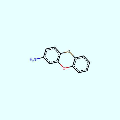 Nc1ccc2c(c1)Oc1ccccc1S2